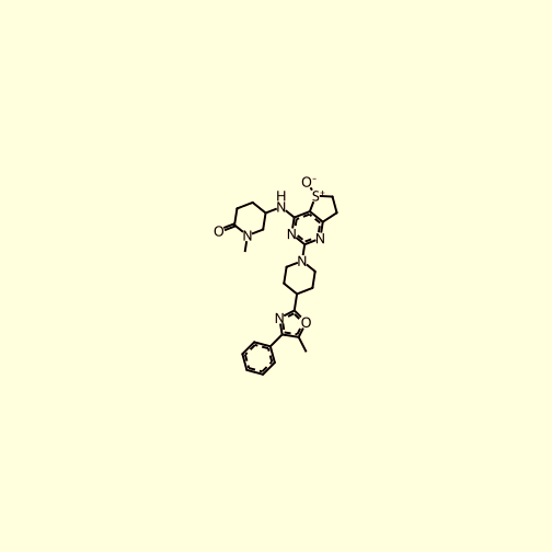 Cc1oc(C2CCN(c3nc4c(c(NC5CCC(=O)N(C)C5)n3)[S+]([O-])CC4)CC2)nc1-c1ccccc1